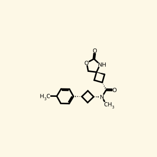 CC1C=CC([C@H]2C[C@@H](N(C)C(=O)[C@H]3C[C@]4(COC(=O)N4)C3)C2)=CC1